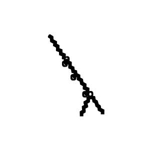 CCCCCCCCCCCOC(=O)CCCCCC(=O)CCCCCCCC(=O)OC(CCCCCCCC)CCCCCCCC